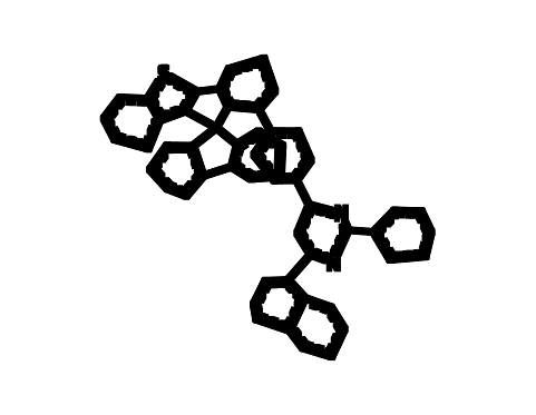 c1ccc(-c2nc(-c3ccc(-c4cccc5c4C4(c6ccccc6-c6ccccc64)c4c-5sc5ccccc45)cc3)cc(-c3cccc4ccccc34)n2)cc1